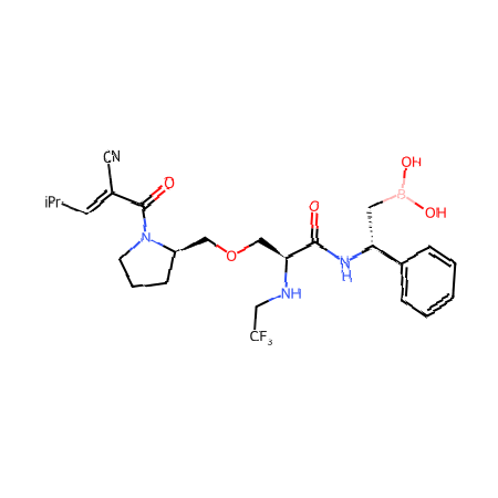 CC(C)C=C(C#N)C(=O)N1CCC[C@@H]1COC[C@H](NCC(F)(F)F)C(=O)N[C@H](CB(O)O)c1ccccc1